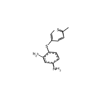 C/C=C(\C=C/C(C)=S)Sc1ccc(N)cc1P